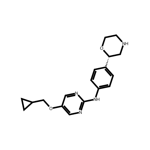 c1cc([C@H]2CNCCO2)ccc1Nc1ncc(OCC2CC2)cn1